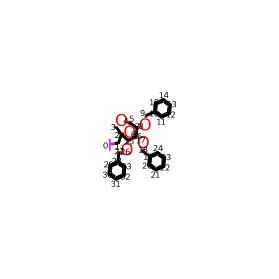 ICC12COC(O1)C(OCc1ccccc1)C(OCc1ccccc1)C2OCc1ccccc1